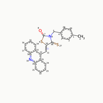 Cc1ccc(CN2C(=O)S/C(=C\c3c4ccccc4nc4ccccc34)C2=S)cc1